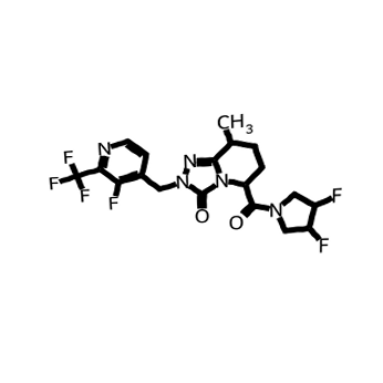 CC1CCC(C(=O)N2CC(F)C(F)C2)n2c1nn(Cc1ccnc(C(F)(F)F)c1F)c2=O